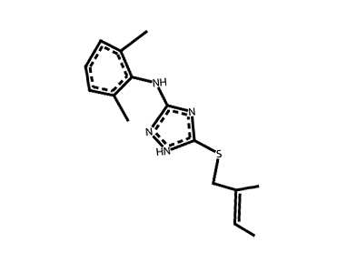 C/C=C(\C)CSc1nc(Nc2c(C)cccc2C)n[nH]1